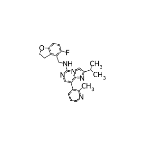 Cc1ncccc1-c1cnc(NCc2c(F)ccc3c2CCO3)n2cc(C(C)C)nc12